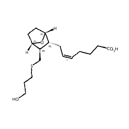 O=C(O)CCC/C=C\C[C@@H]1[C@@H](CSCCCO)[C@@H]2CC[C@H]1O2